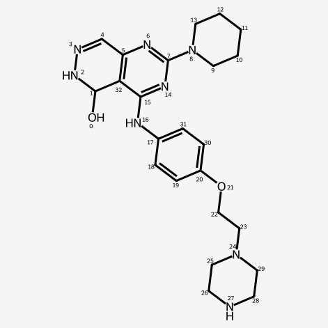 OC1NN=Cc2nc(N3CCCCC3)nc(Nc3ccc(OCCN4CCNCC4)cc3)c21